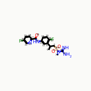 CC(CS(=O)(=O)N(C)C(=N)N)c1cc(NC(=O)c2ccc(F)cn2)ccc1F